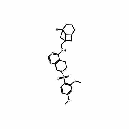 COc1ccc(S(=O)(=O)N2CCc3c(ncnc3NCC34CC5CCC[C@@H](C3)C54)C2)c(OC)c1